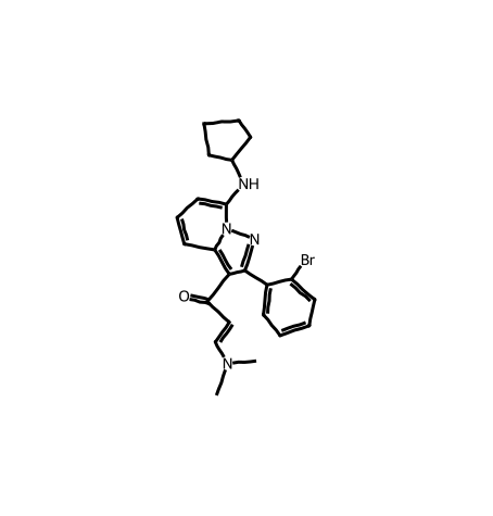 CN(C)/C=C/C(=O)c1c(-c2ccccc2Br)nn2c(NC3CCCC3)cccc12